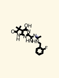 C/C(=N/C(=N)c1nc(O)c2c(n1)NC(=O)C2(C)C)NCc1ccccc1F